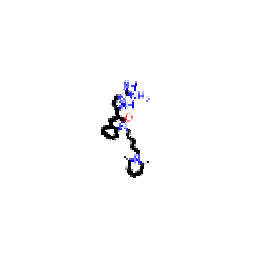 C[C@@H]1CCC[C@H](C)N1CCCCCn1c(=O)c(C2CCN(C(=N)N)N2)cc2ccccc21